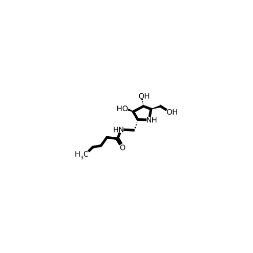 CCCCC(=O)NC[C@H]1N[C@H](CO)[C@@H](O)[C@@H]1O